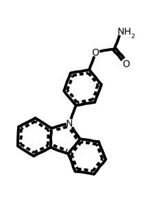 NC(=O)Oc1ccc(-n2c3ccccc3c3ccccc32)cc1